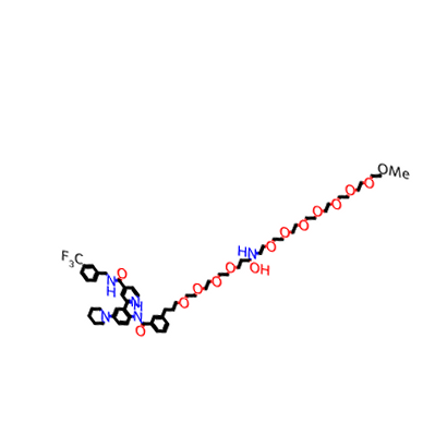 COCCOCCOCCOCCOCCOCCOCCOCCNC(O)CCOCCOCCOCCOCCCc1cccc(C(=O)Nc2ccc(N3CCCCC3)cc2-c2cc(C(=O)NCc3cccc(C(F)(F)F)c3)ccn2)c1